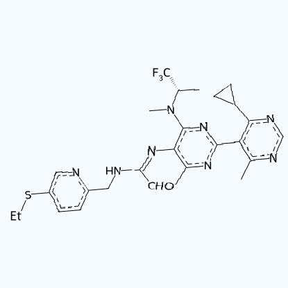 CCSc1ccc(CN/C(C=O)=N/c2c(C)nc(-c3c(C)ncnc3C3CC3)nc2N(C)[C@@H](C)C(F)(F)F)nc1